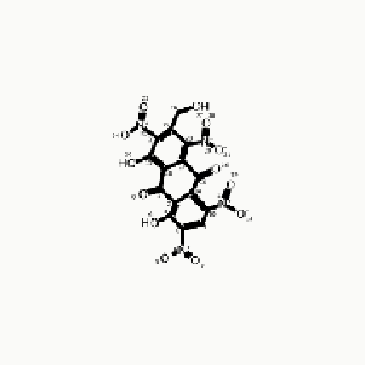 O=C1c2c(O)c([N+](=O)[O-])cc([N+](=O)[O-])c2C(=O)c2c1c(O)c([N+](=O)[O-])c(CO)c2[N+](=O)[O-]